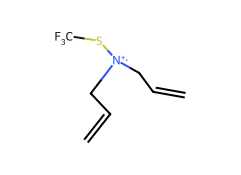 C=CC[N+](CC=C)SC(F)(F)F